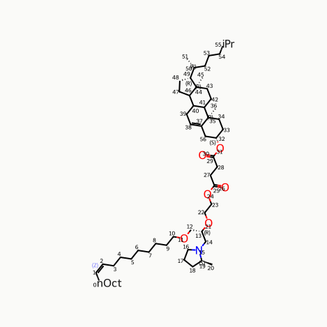 CCCCCCCC/C=C\CCCCCCCCOC[C@@H](CN1CCC[C@@H]1C)OCCOC(=O)CCC(=O)O[C@H]1CC[C@@]2(C)C(=CCC3C2CC[C@@]2(C)C3CC[C@@H]2[C@H](C)CCCC(C)C)C1